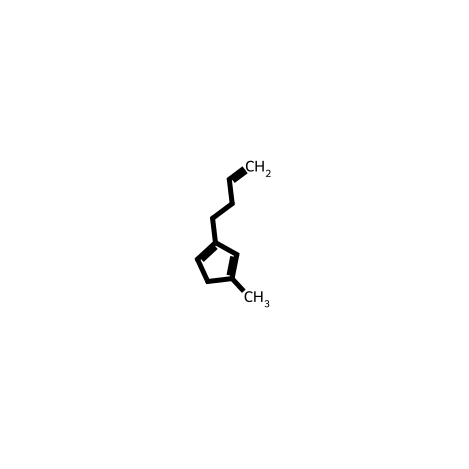 C=CCCC1=CCC(C)=C1